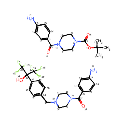 CC(C)(C)OC(=O)N1CCN(C(=O)c2ccc(N)cc2)CC1.Nc1ccc(C(=O)N2CCN(Cc3ccc(C(O)(C(F)(F)F)C(F)(F)F)cc3)CC2)cc1